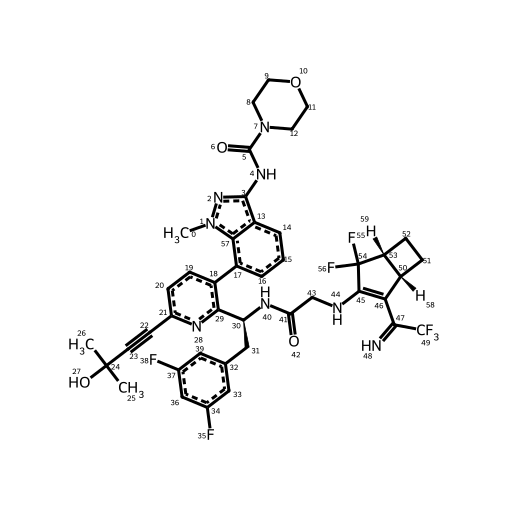 Cn1nc(NC(=O)N2CCOCC2)c2cccc(-c3ccc(C#CC(C)(C)O)nc3[C@H](Cc3cc(F)cc(F)c3)NC(=O)CNC3=C(C(=N)C(F)(F)F)[C@H]4CC[C@H]4C3(F)F)c21